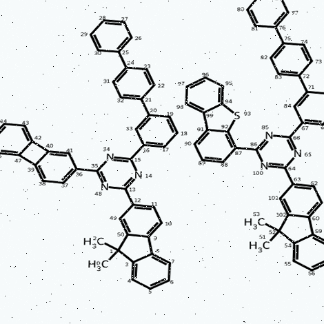 CC1(C)c2ccccc2-c2ccc(-c3nc(-c4cccc(-c5ccc(-c6ccccc6)cc5)c4)nc(-c4ccc5c(c4)-c4ccccc4-5)n3)cc21.CC1(C)c2ccccc2-c2ccc(-c3nc(-c4cccc(-c5ccc(-c6ccccc6)cc5)c4)nc(-c4cccc5c4sc4ccccc45)n3)cc21